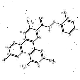 Cc1cc(-c2nc(C(=O)NCc3ccccc3Br)c(N)nc2-c2ccc(F)cc2)cc(C)n1